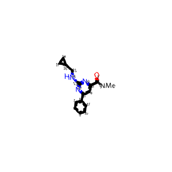 CNC(=O)c1cc(-c2ccccc2)nc(NCC2CC2)n1